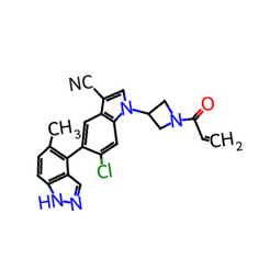 C=CC(=O)N1CC(n2cc(C#N)c3cc(-c4c(C)ccc5[nH]ncc45)c(Cl)cc32)C1